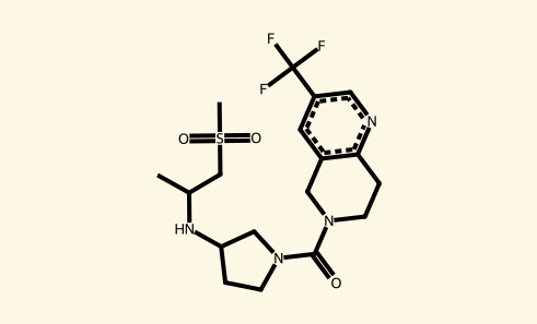 CC(CS(C)(=O)=O)NC1CCN(C(=O)N2CCc3ncc(C(F)(F)F)cc3C2)C1